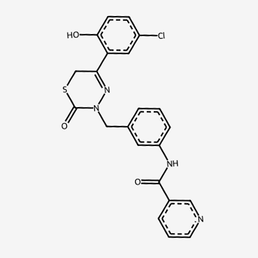 O=C(Nc1cccc(CN2N=C(c3cc(Cl)ccc3O)CSC2=O)c1)c1cccnc1